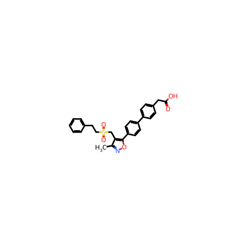 Cc1noc(-c2ccc(-c3ccc(CC(=O)O)cc3)cc2)c1CS(=O)(=O)CCc1ccccc1